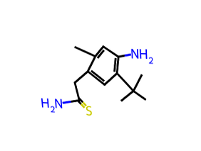 Cc1cc(N)c(C(C)(C)C)cc1CC(N)=S